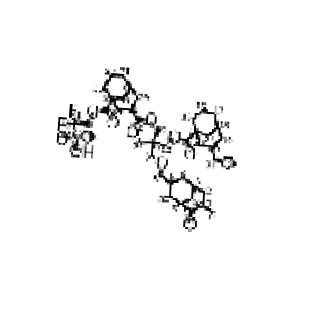 CC1CC2CC(COCC3(COC(=O)C45CCCC(CC(C=O)C4)C5)COC(C4CC5CCCC(C(=O)OCC(F)(F)S(=O)(=O)O)(C5)C4)OC3)CC(C2)C1=O